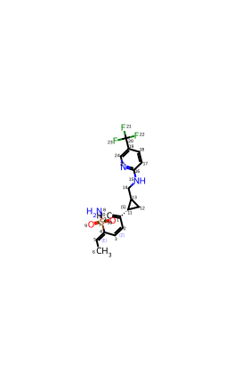 C=C(/C=C\C(=C/C)S(N)(=O)=O)[C@H]1CC1CNc1ccc(C(F)(F)F)cn1